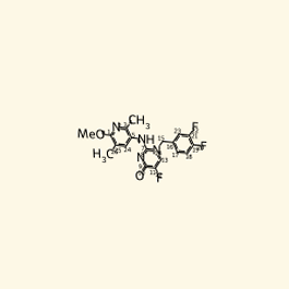 COc1nc(C)c(Nc2nc(=O)c(F)cn2Cc2ccc(F)c(F)c2)cc1C